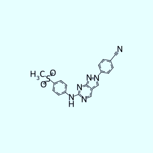 CS(=O)(=O)c1ccc(Nc2ncc3cn(-c4ccc(C#N)cc4)nc3n2)cc1